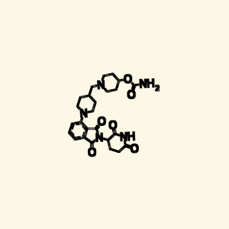 NC(=O)OC1CCN(CC2CCN(c3cccc4c3C(=O)N(C3CCC(=O)NC3=O)C4=O)CC2)CC1